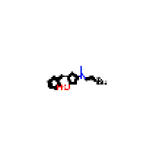 CCC(C)CCN[C@@H]1C[C@@H](Cc2ccccc2)[C@H](O)C1